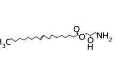 CCCCCCCCC=CCCCCCCCC(=O)OCC(O)CN